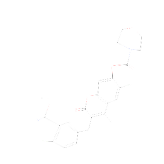 COC(N)c1cc(Cc2c(C)c3cc(Cl)c(OC(=O)N4CCOCC4)cc3oc2=O)ccc1F